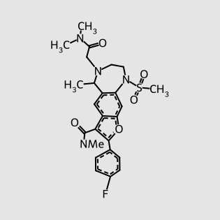 CNC(=O)c1c(-c2ccc(F)cc2)oc2cc3c(cc12)C(C)N(CC(=O)N(C)C)CCN3S(C)(=O)=O